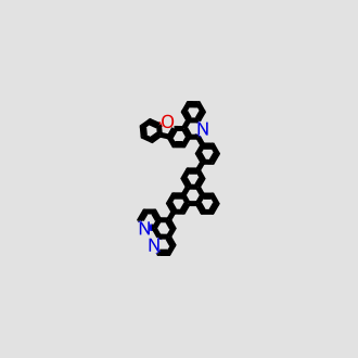 c1cc(-c2ccc3c4ccc(-c5cc6cccnc6c6ncccc56)cc4c4ccccc4c3c2)cc(-c2nc3ccccc3c3c2ccc2c4ccccc4oc23)c1